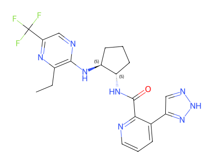 CCc1nc(C(F)(F)F)cnc1N[C@H]1CCC[C@@H]1NC(=O)c1ncccc1-c1cn[nH]n1